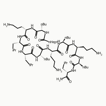 CCCCCCCC(=O)N[C@@H](CCCC)C(=O)N[C@@H](CCCN)C(=O)N[C@@H](CC(C)C)C(=O)N[C@@H](CC(C)C)C(=O)N[C@@H](CCCC)C(=O)N[C@@H](CCCN)C(=O)N[C@@H](CCCC)C(=O)N[C@@H](CCCN)C(=O)N[C@@H](CCCC)C(=O)N[C@@H](CC(C)C)C(N)=O